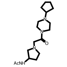 CC(=O)NC1CCN(CC(=O)N2CCN(C3CCCC3)CC2)C1